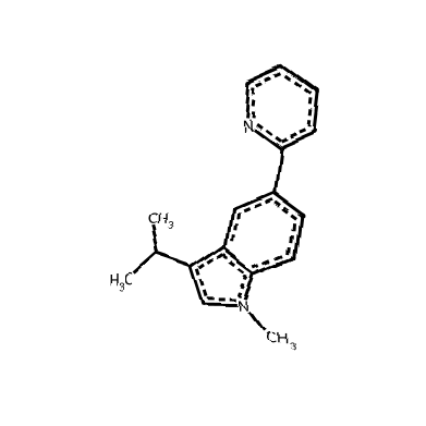 CC(C)c1cn(C)c2ccc(-c3ccccn3)cc12